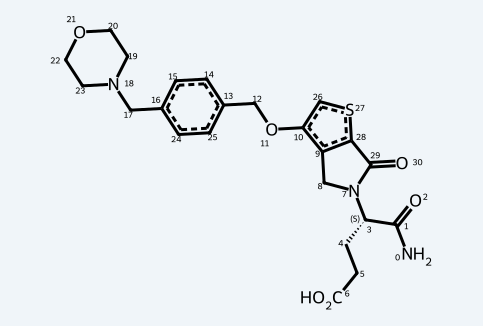 NC(=O)[C@H](CCC(=O)O)N1Cc2c(OCc3ccc(CN4CCOCC4)cc3)csc2C1=O